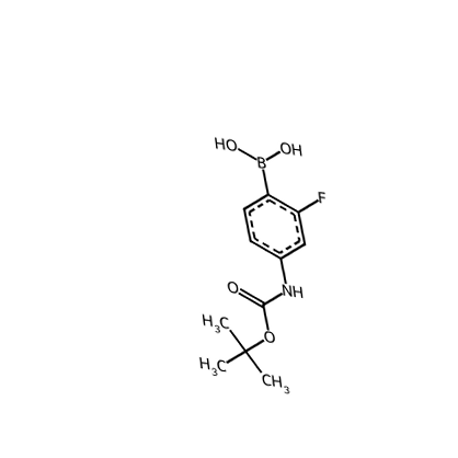 CC(C)(C)OC(=O)Nc1ccc(B(O)O)c(F)c1